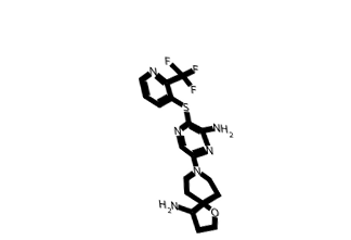 Nc1nc(N2CCC3(CC2)OCCC3N)cnc1Sc1cccnc1C(F)(F)F